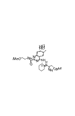 COCCNC(=O)c1nc(N[C@H]2CCCC[C@H]2NC(=N)COC)c2cc(C)ccc2n1.Cl.Cl